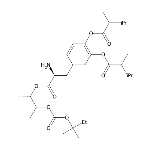 CCC(C)(C)OC(=O)OC(C)[C@H](C)OC(=O)[C@@H](N)Cc1ccc(OC(=O)C(C)C(C)C)c(OC(=O)C(C)C(C)C)c1